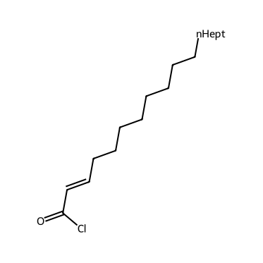 CCCCCCCCCCCCCCCC=CC(=O)Cl